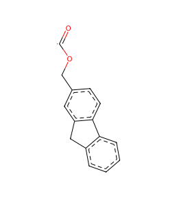 O=[C]OCc1ccc2c(c1)Cc1ccccc1-2